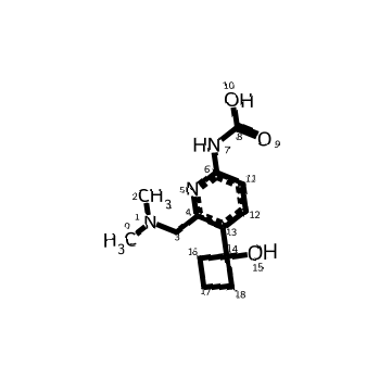 CN(C)Cc1nc(NC(=O)O)ccc1C1(O)CCC1